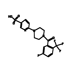 O=C(c1cc(F)ccc1C(F)(F)F)N1CCN(c2ccc(S(=O)(=O)O)cn2)CC1